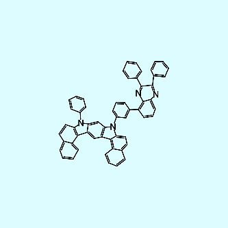 c1ccc(-c2nc3cccc(-c4cccc(-n5c6cc7c(cc6c6c8ccccc8ccc65)c5c6ccccc6ccc5n7-c5ccccc5)c4)c3nc2-c2ccccc2)cc1